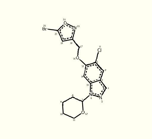 Clc1cc2cnn(C3CCCCO3)c2cc1OCc1cc(Br)on1